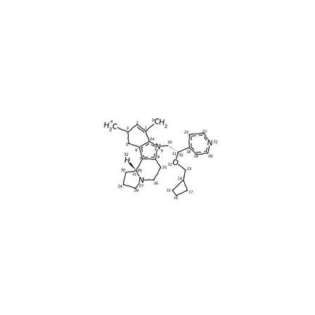 CC1=CC(C)Cc2c3c(n(C[C@@H](OCC4CCC4)c4ccncc4)c21)CCN1CCC[C@H]31